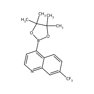 CC1(C)OB(c2ccnc3cc(C(F)(F)F)ccc23)OC1(C)C